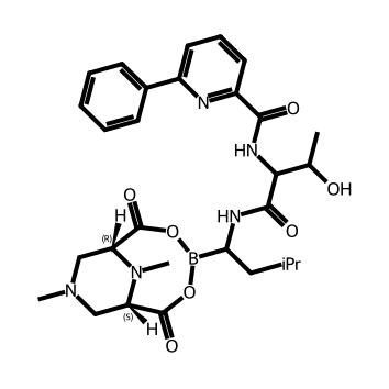 CC(C)CC(NC(=O)C(NC(=O)c1cccc(-c2ccccc2)n1)C(C)O)B1OC(=O)[C@H]2CN(C)C[C@@H](C(=O)O1)N2C